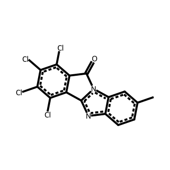 Cc1ccc2nc3n(c2c1)C(=O)c1c(Cl)c(Cl)c(Cl)c(Cl)c1-3